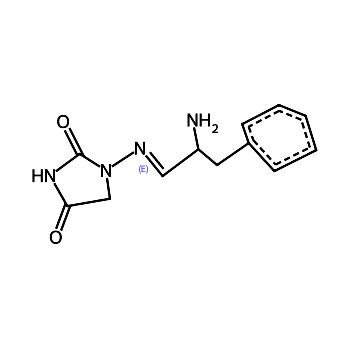 NC(/C=N/N1CC(=O)NC1=O)Cc1ccccc1